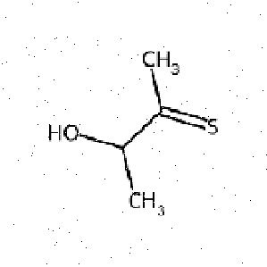 CC(=S)C(C)O